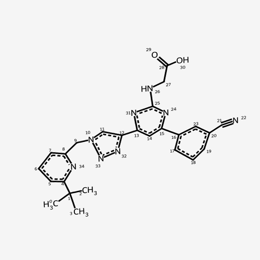 CC(C)(C)c1cccc(Cn2cc(-c3cc(-c4cccc(C#N)c4)nc(NCC(=O)O)n3)nn2)n1